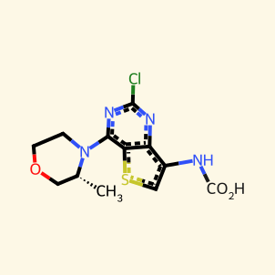 C[C@@H]1COCCN1c1nc(Cl)nc2c(NC(=O)O)csc12